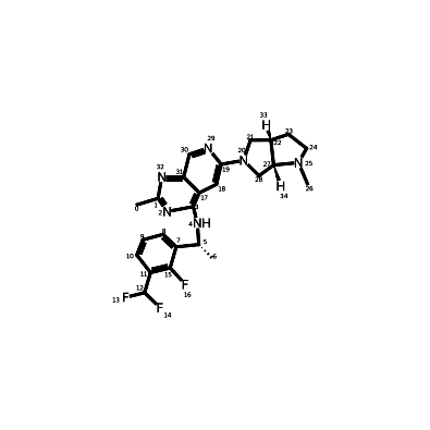 Cc1nc(N[C@H](C)c2cccc(C(F)F)c2F)c2cc(N3C[C@@H]4CCN(C)[C@@H]4C3)ncc2n1